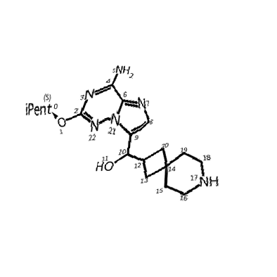 CCC[C@H](C)Oc1nc(N)c2ncc(C(O)C3CC4(CCNCC4)C3)n2n1